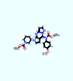 CCOc1ccc(N(C(=O)OC(C)(C)C)c2c3ccn([C@H]4CCCN(C(=O)OC(C)(C)C)C4)c3nc3ccnn23)cc1